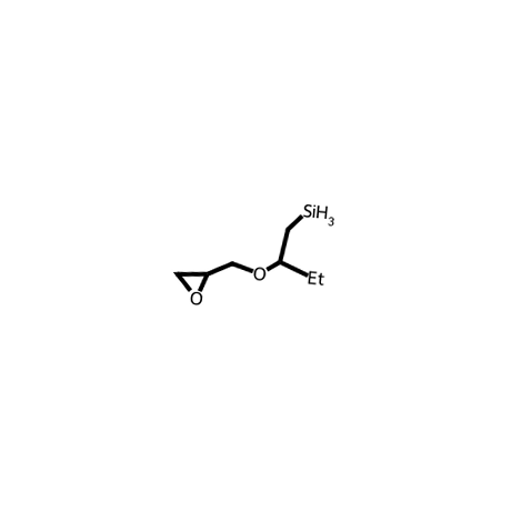 CCC(C[SiH3])OCC1CO1